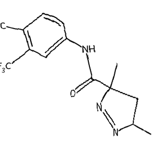 CC1CC(C)(C(=O)Nc2ccc(C#N)c(C(F)(F)F)c2)N=N1